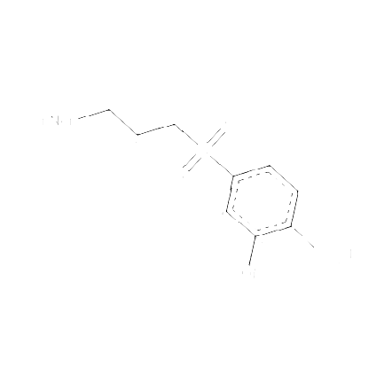 CCCCCCCCCCCCS(=O)(=O)c1ccc(C(=O)O)c(O)c1